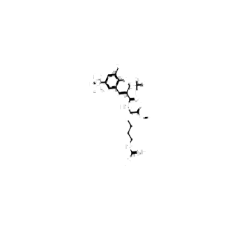 COC(=O)[C@H](CCCCNC(=N)N)NC(=O)C1=Cc2cc(S(F)(F)(F)(F)F)cc(C)c2O[C@@H]1C(F)(F)F